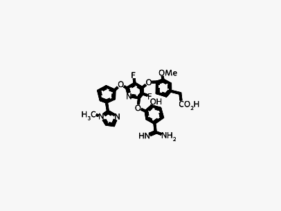 COc1cc(CC(=O)O)ccc1Oc1c(F)c(Oc2cccc(-c3nccn3C)c2)nc(Oc2cc(C(=N)N)ccc2O)c1F